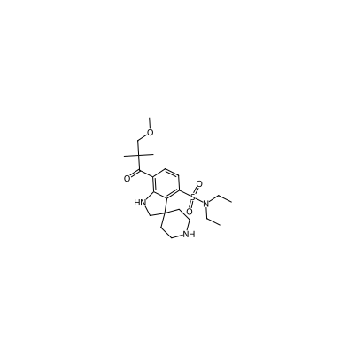 CCN(CC)S(=O)(=O)c1ccc(C(=O)C(C)(C)COC)c2c1C1(CCNCC1)CN2